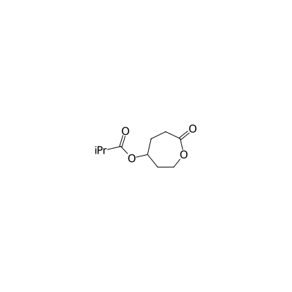 CC(C)C(=O)OC1CCOC(=O)CC1